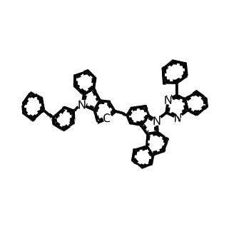 c1ccc(-c2cccc(-n3c4ccccc4c4cc(-c5ccc6c(c5)c5c7ccccc7ccc5n6-c5nc(-c6ccccc6)c6ccccc6n5)ccc43)c2)cc1